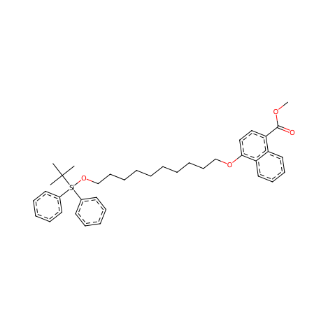 COC(=O)c1ccc(OCCCCCCCCCCO[Si](c2ccccc2)(c2ccccc2)C(C)(C)C)c2ccccc12